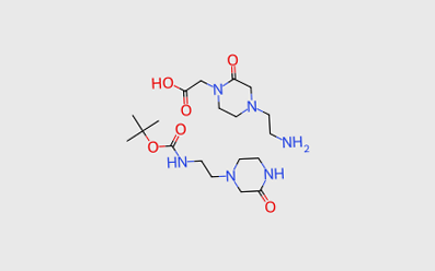 CC(C)(C)OC(=O)NCCN1CCNC(=O)C1.NCCN1CCN(CC(=O)O)C(=O)C1